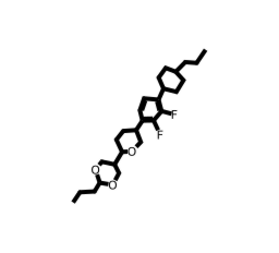 CCCC1CCC(c2ccc(C3CCC(C4COC(CCC)OC4)OC3)c(F)c2F)CC1